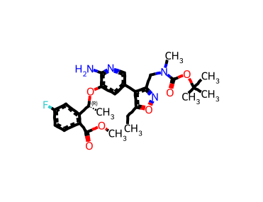 CCc1onc(CN(C)C(=O)OC(C)(C)C)c1-c1cnc(N)c(O[C@H](C)c2cc(F)ccc2C(=O)OC)c1